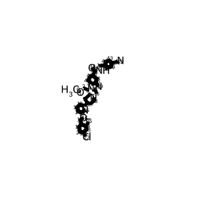 COCCn1c(CN2CCC(c3cccc(OCc4ccc(Cl)cc4F)n3)CC2)nc2cc(C(=O)NCc3ccc(C#N)cc3)ccc21